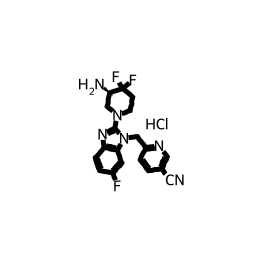 Cl.N#Cc1ccc(Cn2c(N3CCC(F)(F)[C@H](N)C3)nc3ccc(F)cc32)nc1